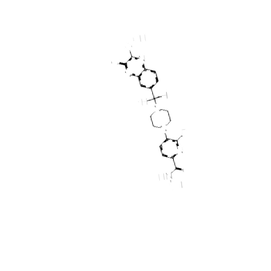 [2H]C([2H])(c1ccc2nc(OC)c(=O)[nH]c2c1)N1CCN(c2ccc(C(=O)NC)nc2F)CC1